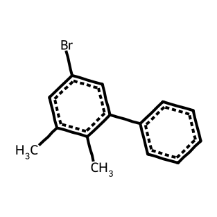 Cc1cc(Br)cc(-c2ccccc2)c1C